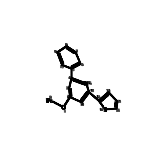 CC(C)Oc1cc(-c2ccccc2)nc(-c2cccs2)c1